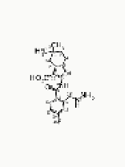 CC1(C)CCc2sc(NC(=O)c3ccc(F)cc3CNN)c(C(=O)O)c2C1